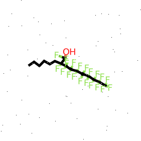 CCCCCCC(F)(C(O)(F)F)C(F)(F)C(F)(F)C(F)(F)C(F)(F)C(F)(F)C(F)(F)C(F)(F)C(F)(F)F